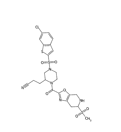 CS(=O)(=O)C1Cc2nc(C(=O)N3CCN(S(=O)(=O)c4cc5ccc(Cl)cc5s4)CC3CCC#N)oc2CN1